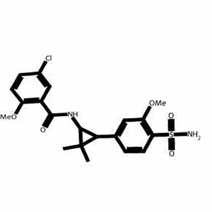 COc1ccc(Cl)cc1C(=O)NC1C(c2ccc(S(N)(=O)=O)c(OC)c2)C1(C)C